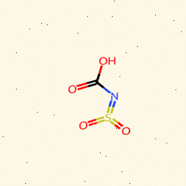 O=C(O)N=S(=O)=O